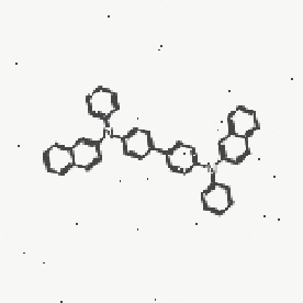 C1=CC(N(c2ccc(-c3ccc(N(c4ccccc4)c4ccc5ccccc5c4)cc3)cc2)c2ccc3ccccc3c2)=CCC1